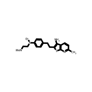 CCN(CCNC)c1ccc(CCc2sc3nc(C)ccc3c2N)cc1